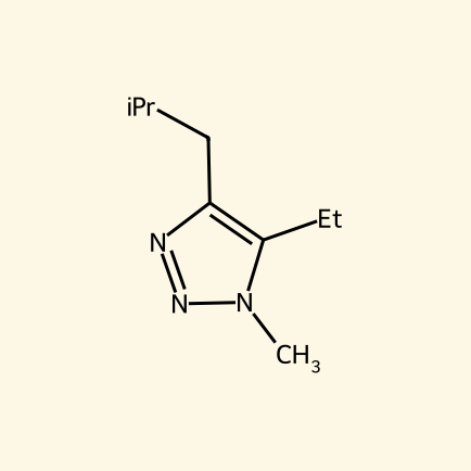 CCc1c(CC(C)C)nnn1C